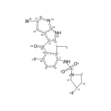 CCc1c(NS(=O)(=O)N2CCC(F)C2)ccc(F)c1C(=O)c1c[nH]c2ncc(Br)cc12